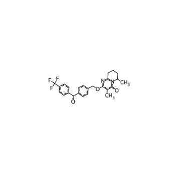 Cc1c(OCc2ccc(C(=O)c3ccc(C(F)(F)F)cc3)cc2)nc2n(c1=O)C(C)CCC2